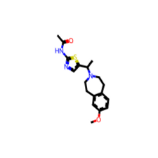 COc1ccc2c(c1)CCN(C(C)c1cnc(NC(C)=O)s1)CC2